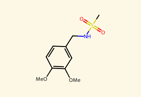 COc1ccc(CNS(C)(=O)=O)cc1OC